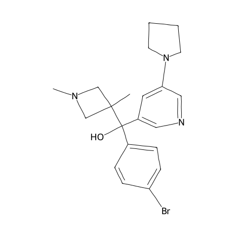 CN1CC(C)(C(O)(c2ccc(Br)cc2)c2cncc(N3CCCC3)c2)C1